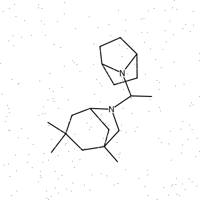 C[C](N1CC2(C)CC1CC(C)(C)C2)N1C2CCC1CC2